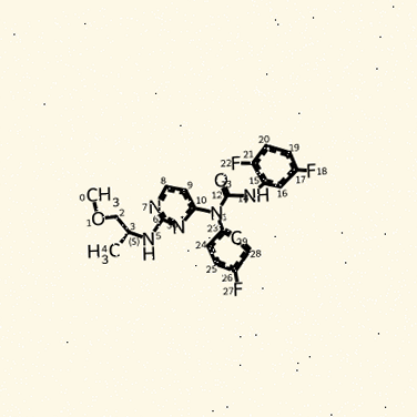 COC[C@H](C)Nc1nccc(N(C(=O)Nc2cc(F)ccc2F)c2ccc(F)cc2)n1